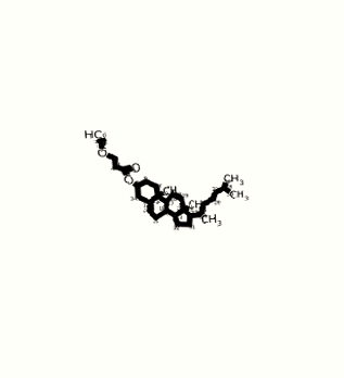 C#COCCC(=O)OC1CCC2(C)C(=CCC3C2CCC2(C)C(C(C)CCCC(C)C)CCC32)C1